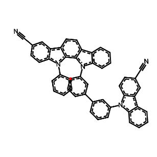 N#Cc1ccc2c(c1)c1ccccc1n2-c1cccc(-c2cccc(-n3c4ccccc4c4ccc5c6cc(C#N)ccc6n(-c6ccccc6)c5c43)c2)c1